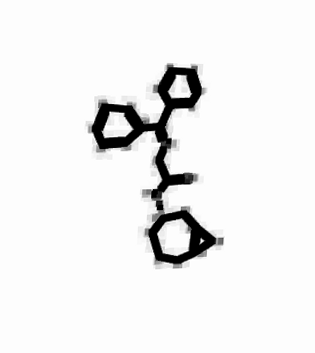 O=C(CN=C(c1ccccc1)c1ccccc1)O[C@H]1CCCC2=C(C2)C1